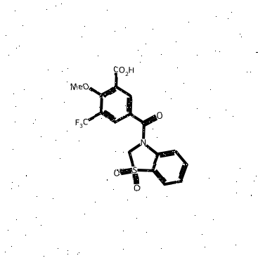 COc1c(C(=O)O)cc(C(=O)N2CS(=O)(=O)c3ccccc32)cc1C(F)(F)F